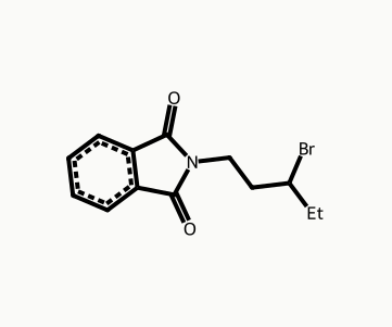 CCC(Br)CCN1C(=O)c2ccccc2C1=O